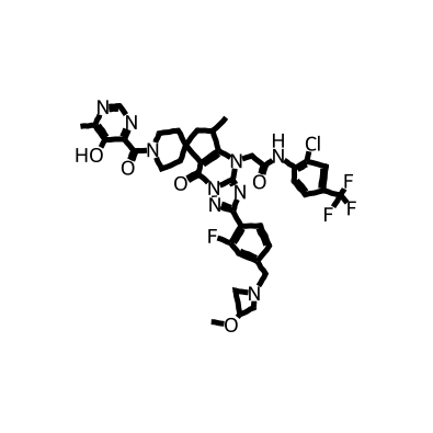 COC1CN(Cc2ccc(-c3nc4n(CC(=O)Nc5ccc(C(F)(F)F)cc5Cl)c5c(c(=O)n4n3)C3(CCN(C(=O)c4ncnc(C)c4O)CC3)CC5C)c(F)c2)C1